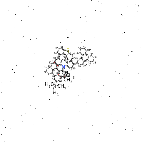 CC(C)(C)c1cc(-c2cccc3cccc(-c4ccccc4N(c4ccc(-c5ccc(-c6ccccc6)c(-c6ccccc6)c5)cc4)c4cccc(-c5cccc6sc7ccccc7c56)c4)c23)cc(C(C)(C)C)c1